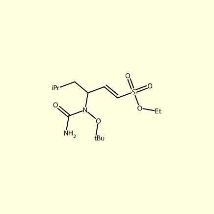 CCOS(=O)(=O)C=CC(CC(C)C)N(OC(C)(C)C)C(N)=O